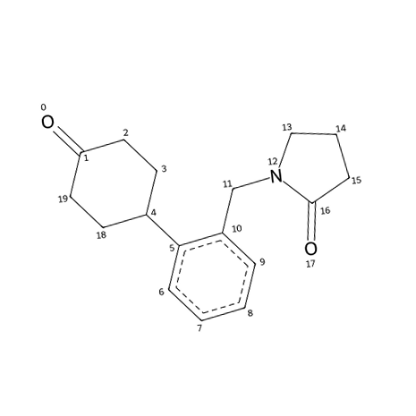 O=C1CCC(c2ccccc2CN2CCCC2=O)CC1